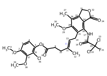 COc1ccc(OC(=O)CC/C(C)=C/Cc2c(NC(=O)C(F)(Cl)Cl)c3c(c(C)c2OC)COC3=O)c(Cl)c1OC